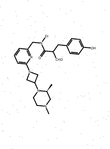 CCN(Cc1cccc(N2CC(N3CCN(C)C[C@@H]3C)C2)n1)C(=O)C(C=O)Cc1ccc(O)cc1